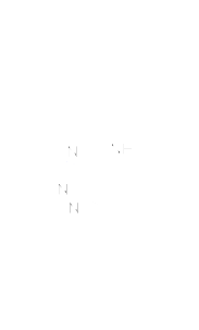 C=C/N=C1/N=NS/C1=C/N